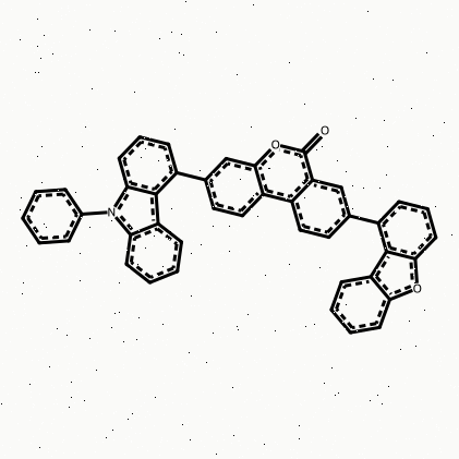 O=c1oc2cc(-c3cccc4c3c3ccccc3n4-c3ccccc3)ccc2c2ccc(-c3cccc4oc5ccccc5c34)cc12